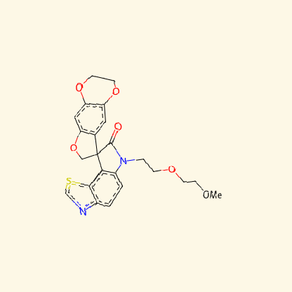 COCCOCCN1C(=O)C2(COc3cc4c(cc32)OCCO4)c2c1ccc1ncsc21